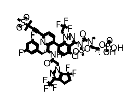 C[C@H](CN(C)C(=O)N(c1nn(CC(F)(F)F)c2c(-c3ccc(C#CC(C)(C)S(C)(=O)=O)nc3[C@H](Cc3cc(F)cc(F)c3)NC(=O)Cn3nc(C(F)(F)F)c4c3C(F)(F)CC4)ccc(Cl)c12)S(C)(=O)=O)OP(=O)(O)O